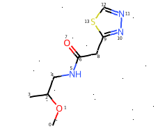 COC(C)CNC(=O)Cc1nn[c]s1